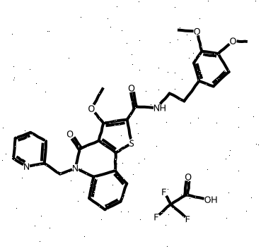 COc1ccc(CCNC(=O)c2sc3c(c2OC)c(=O)n(Cc2ccccn2)c2ccccc32)cc1OC.O=C(O)C(F)(F)F